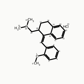 COc1ccccc1/C=C1\c2ccccc2CCC1CN(C)C.Cl